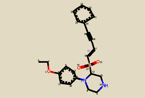 CCOc1ccc(N2CCNCC2S(=O)(=O)/C=C/C#Cc2ccccc2)cc1